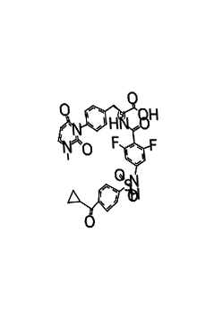 Cn1ccc(=O)n(-c2ccc(C[C@H](NC(=O)c3c(F)cc(NS(=O)(=O)c4ccc(C(=O)C5CC5)cc4)cc3F)C(=O)O)cc2)c1=O